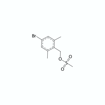 Cc1cc(Br)cc(C)c1COS(C)(=O)=O